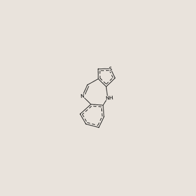 C1=Nc2ccccc2Nc2cscc21